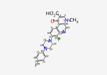 Cn1cc(C(=O)O)c(=O)c2c3ccc(N4CCN(c5ccc(F)cc5)CC4)c(F)c3ncc21